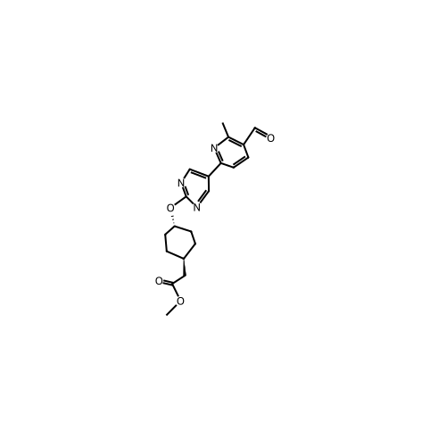 COC(=O)C[C@H]1CC[C@H](Oc2ncc(-c3ccc(C=O)c(C)n3)cn2)CC1